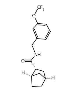 O=C(NCc1cccc(OC(F)(F)F)c1)[C@@H]1C[C@H]2CC[C@@H]1C2